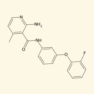 Cc1ccnc(N)c1C(=O)Nc1cccc(Oc2ccccc2F)c1